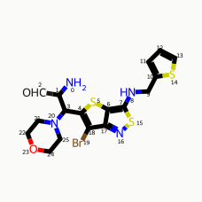 NC(C=O)C(c1sc2c(NCc3cccs3)snc2c1Br)N1CCOCC1